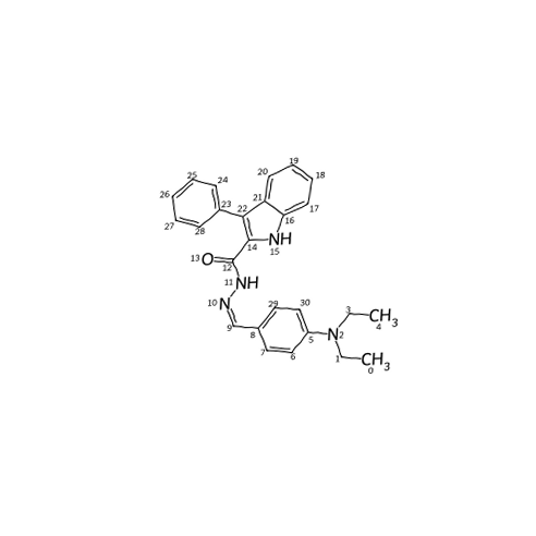 CCN(CC)c1ccc(/C=N\NC(=O)c2[nH]c3ccccc3c2-c2ccccc2)cc1